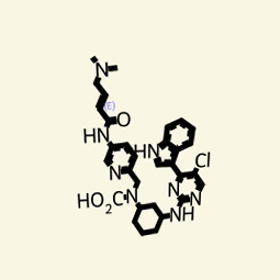 CN(C)C/C=C/C(=O)Nc1ccc(CN(C(=O)O)C2CCCC(Nc3ncc(Cl)c(-c4c[nH]c5ccccc45)n3)C2)nc1